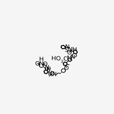 Cc1c(O[C@H]2CC[C@H](CCCN3CCN(c4cccc5c(C6CCC(=O)NC6=O)nn(C)c45)[C@H](C)C3)CC2)cccc1-c1ccc(N2CCc3cccc(C(=O)Nc4nc5ccccc5s4)c3C2)nc1C(=O)O